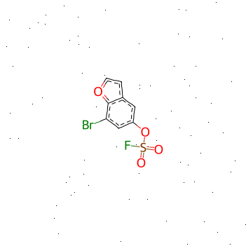 O=S(=O)(F)Oc1cc(Br)c2occc2c1